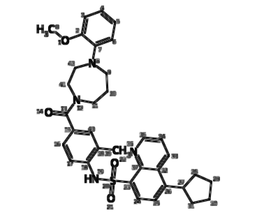 COc1ccccc1N1CCCN(C(=O)c2ccc(NS(=O)(=O)c3ccc(C4CCCC4)c4cccnc34)c(C)c2)CC1